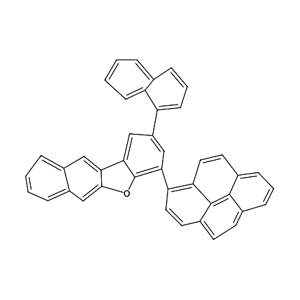 c1ccc2cc3c(cc2c1)oc1c(-c2ccc4ccc5cccc6ccc2c4c56)cc(-c2cccc4ccccc24)cc13